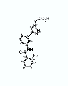 O=C(O)Cn1cc(-c2cccc(NC(=O)c3ccccc3F)c2)nn1